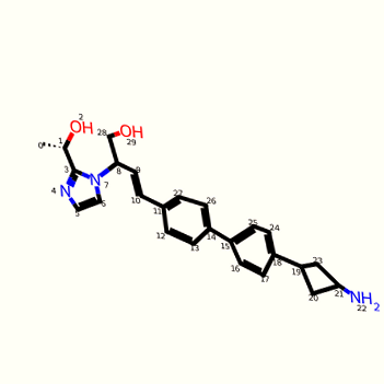 C[C@H](O)c1nccn1C(C=Cc1ccc(-c2ccc(C3CC(N)C3)cc2)cc1)CO